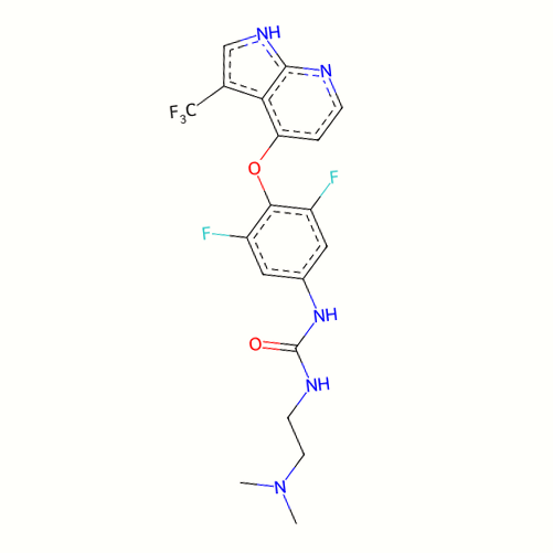 CN(C)CCNC(=O)Nc1cc(F)c(Oc2ccnc3[nH]cc(C(F)(F)F)c23)c(F)c1